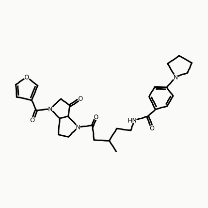 CC(CCNC(=O)c1ccc(N2CCCC2)cc1)CC(=O)N1CCC2C1C(=O)CN2C(=O)c1ccoc1